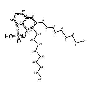 CCCCCCCCCc1cc2ccccc2c(OS(=O)(=O)O)c1CCCCCCCCC